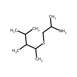 CC(N)CSC(C)C(C)C(C)C